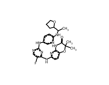 CC(Nc1ccc(Nc2ncc(F)c(Nc3ccc4c(n3)NC(=O)C(C)(C)O4)n2)cn1)C1CCCO1